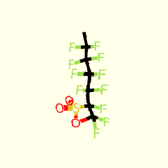 CC(F)(F)C(F)(F)C(F)(F)C(F)(F)C1(F)C(F)(F)OS1(=O)=O